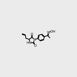 C=CCC1NC(=O)N(c2ccc(C(C)=NO)cc2)C1=O